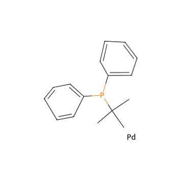 CC(C)(C)P(c1ccccc1)c1ccccc1.[Pd]